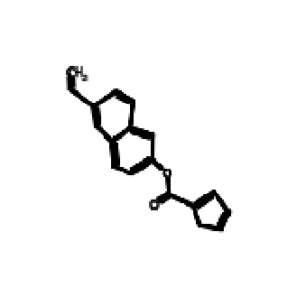 C=Cc1ccc2cc(OC(=O)C3=CC=CC3)ccc2c1